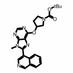 Cn1c(-c2cncc3ccccc23)nc2c(OC3CCN(C(=O)OC(C)(C)C)C3)ncnc21